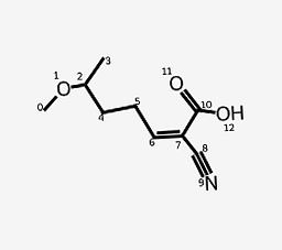 COC(C)CCC=C(C#N)C(=O)O